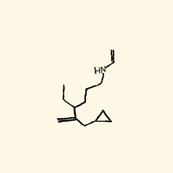 C=CNCCCC(CC)C(=C)CC1CC1